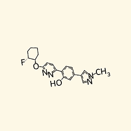 Cn1cc(-c2ccc(-c3ccc(O[C@@H]4CCCC[C@H]4F)nn3)c(O)c2)cn1